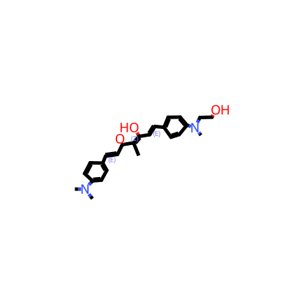 C/C(C(=O)/C=C/c1ccc(N(C)C)cc1)=C(O)\C=C\c1ccc(N(C)CCO)cc1